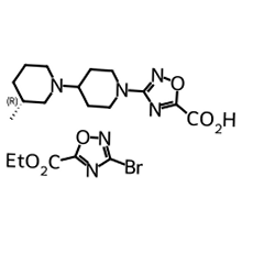 CCOC(=O)c1nc(Br)no1.C[C@@H]1CCCN(C2CCN(c3noc(C(=O)O)n3)CC2)C1